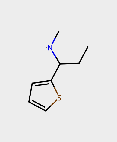 CCC([N]C)c1cccs1